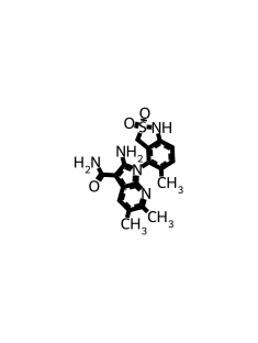 Cc1cc2c(C(N)=O)c(N)n(-c3c(C)ccc4c3CS(=O)(=O)N4)c2nc1C